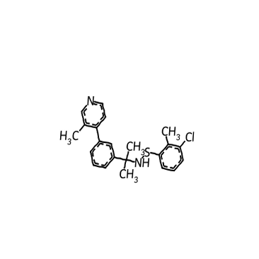 Cc1cnccc1-c1cccc(C(C)(C)NSc2cccc(Cl)c2C)c1